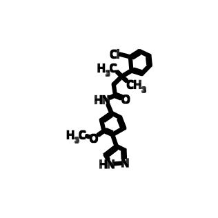 COc1cc(NC(=O)CC(C)(C)c2ccccc2Cl)ccc1-c1cn[nH]c1